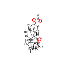 CC(=O)O[C@@H]1CC[C@@]2(C)[C@H](CC[C@H]3[C@@H]4CC[C@@H]5CC=CC(=O)C54CC[C@@H]32)C1